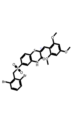 COc1cc(OC)c(/C=C2/Sc3ccc(S(=O)(=O)Cc4c(Br)cccc4Br)cc3NC2=O)c(OC)c1